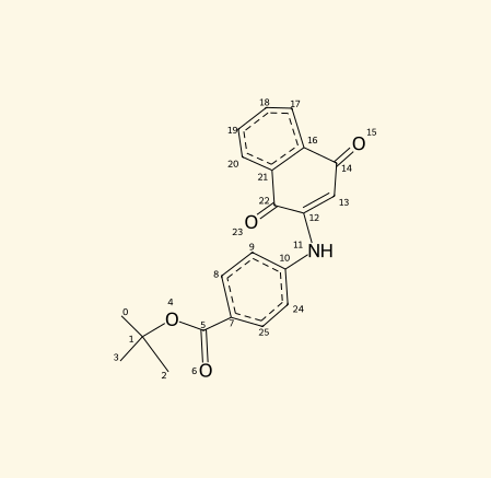 CC(C)(C)OC(=O)c1ccc(NC2=CC(=O)c3ccccc3C2=O)cc1